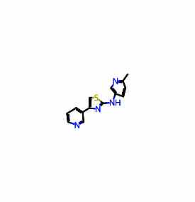 Cc1ccc(Nc2nc(-c3cccnc3)cs2)cn1